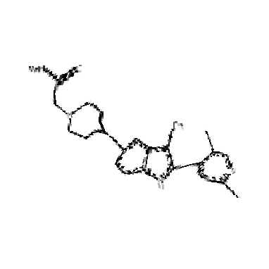 CNC(=O)CN1CCC(c2ccc3[nH]c(-c4cc(C)ncc4C)c(C(C)C)c3c2)CC1